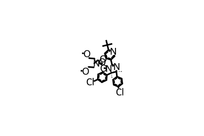 CCOc1cc(C(C)(C)C)ncc1C1=N[C@@](C)(c2ccc(Cl)cc2)[C@@](C)(c2ccc(Cl)cc2)N1OC(=O)N(CCOC)CCOC